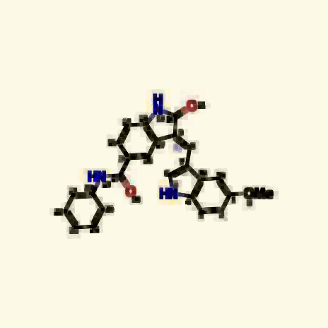 COc1ccc2[nH]cc(/C=C3/C(=O)Nc4ccc(C(=O)Nc5ccccc5)cc43)c2c1